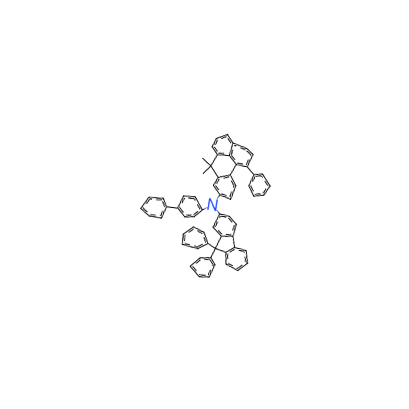 CC1(C)c2cc(N(c3ccc(-c4ccccc4)cc3)c3ccc4c(c3)C(c3ccccc3)(c3ccccc3)c3ccccc3-4)ccc2-c2c(-c3ccccc3)ccc3cccc1c23